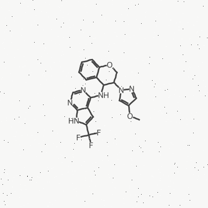 COc1cnn(C2COc3ccccc3C2Nc2ncnc3[nH]c(C(F)(F)F)cc23)c1